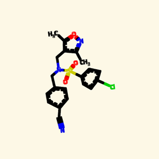 Cc1noc(C)c1CN(Cc1ccc(C#N)cc1)S(=O)(=O)c1ccc(Cl)cc1